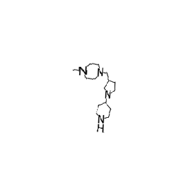 CN1CCN(CC2CCN(C3CCNCC3)C2)CC1